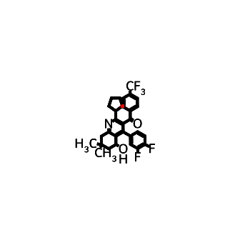 CC1(C)Cc2nc(C3CCCC3)c(C(=O)c3ccc(C(F)(F)F)cc3)c(-c3ccc(F)c(F)c3)c2C(O)C1